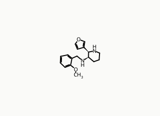 COc1ccccc1CN[C@@H]1CCCN[C@@H]1c1ccoc1